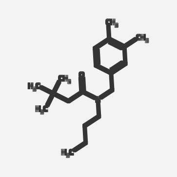 CCCCN(Cc1ccc(C)c(C)c1)C(=O)CC(C)(C)C